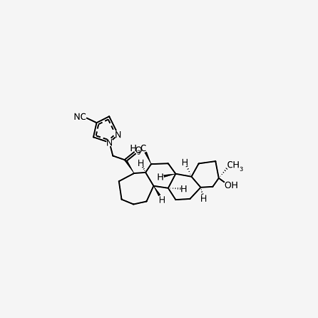 C[C@H]1C[C@H]2[C@@H](CC[C@@H]3C[C@](C)(O)CC[C@@H]32)[C@@H]2CCCC[C@@H](C(=O)Cn3cc(C#N)cn3)[C@H]21